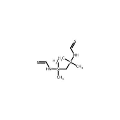 C[Si](C)(C[Si](C)(C)NC=S)NC=S